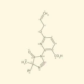 C=CCOc1ccc(C(=O)O)c(N2C#[N+]C(C)(C(C)C)C2=O)n1